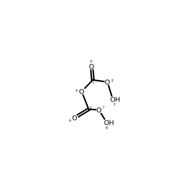 O=C(OO)OC(=O)OO